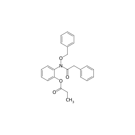 CCC(=O)Oc1ccccc1N(OCc1ccccc1)C(=O)Cc1ccccc1